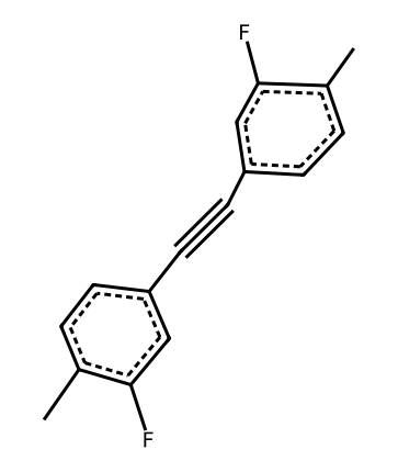 Cc1ccc(C#Cc2ccc(C)c(F)c2)cc1F